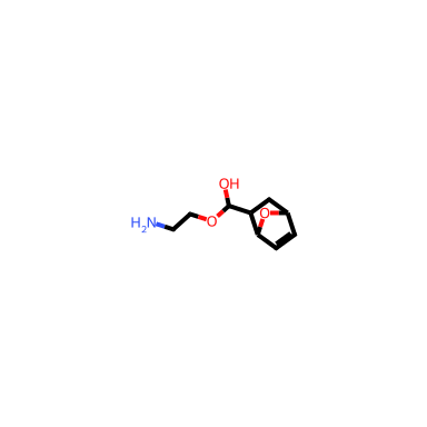 NCCOC(O)C1CC2C=CC1O2